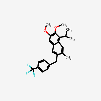 COc1cc2cc(Cc3ccc(C(F)(F)F)cc3)c(C)cc2c(C(C)C)c1OC